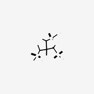 [CH2]C(C(F)S(=O)(=O)O)(C(F)S(=O)(=O)O)C(F)S(=O)(=O)O